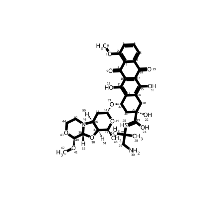 COc1cccc2c1C(=O)c1c(O)c3c(c(O)c1C2=O)C[C@@](O)(C(O)=[SH]C(C)(C)CN)C[C@@H]3O[C@H]1C[C@H]2[C@H](O[C@@H]3[C@@H](OC)OCCN32)[C@H](C)O1